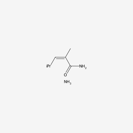 CC(=CC(C)C)C(N)=O.N